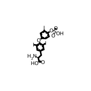 N[C@@H](Cc1cc(I)c(Oc2ccc(OS(=O)(=O)O)c(I)c2)c(I)c1)C(=O)O